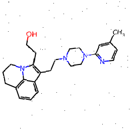 Cc1ccnc(N2CCN(CCc3c(CCO)n4c5c(cccc35)CCC4)CC2)c1